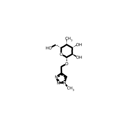 C[C@@H]1[C@H](O)[C@@H](O)[C@H](OCc2cn(C)nn2)O[C@@H]1CO